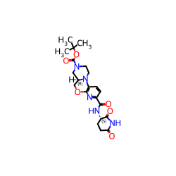 CC(C)(C)OC(=O)N1CCN2c3ccc(C(=O)N[C@H]4CCC(=O)NC4=O)nc3OC[C@H]2C1